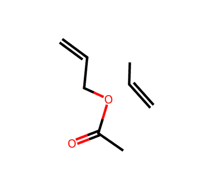 C=CC.C=CCOC(C)=O